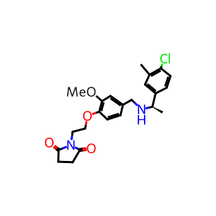 COc1cc(CN[C@H](C)c2ccc(Cl)c(C)c2)ccc1OCCN1C(=O)CCC1=O